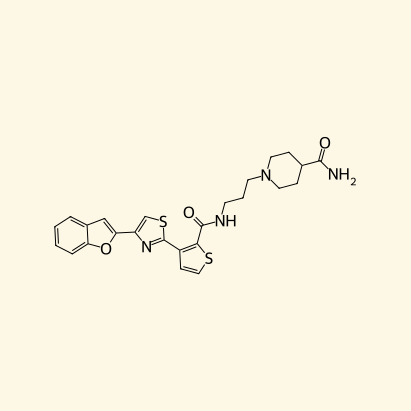 NC(=O)C1CCN(CCCNC(=O)c2sccc2-c2nc(-c3cc4ccccc4o3)cs2)CC1